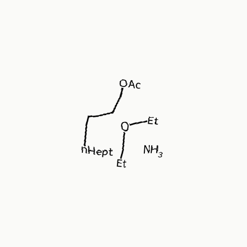 CCCCCCCCCOC(C)=O.CCOCC.N